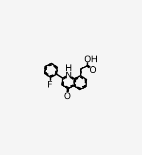 O=C(O)Cc1cccc2c(=O)cc(-c3ccccc3F)[nH]c12